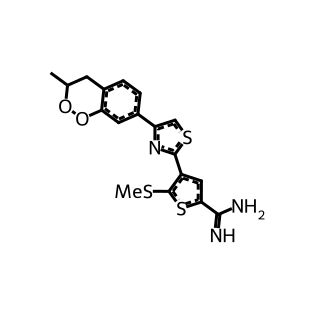 CSc1sc(C(=N)N)cc1-c1nc(-c2ccc3c(c2)OOC(C)C3)cs1